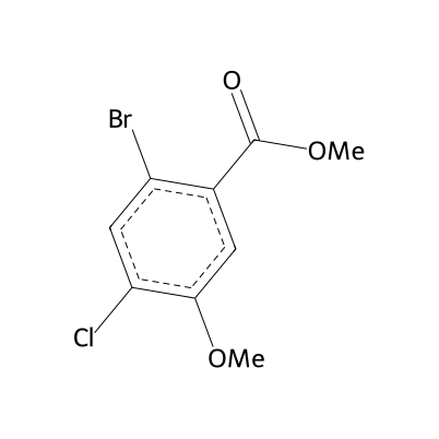 COC(=O)c1cc(OC)c(Cl)cc1Br